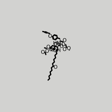 CC#CCOc1ccc(C[C@H](NC(=O)[C@@H](/C=C/CCCCCCC(=O)CCCCCCC)[C@@](O)(CC(=O)OC(C)OC(C)=O)C(=O)O)C(=O)OCC(=O)OC)cc1